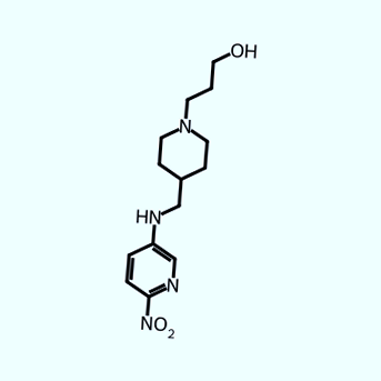 O=[N+]([O-])c1ccc(NCC2CCN(CCCO)CC2)cn1